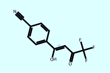 N#Cc1ccc(/C(O)=C/C(=O)C(F)(F)F)cc1